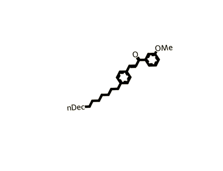 CCCCCCCCCCCCCCCCCc1ccc(C=CC(=O)c2cccc(OC)c2)cc1